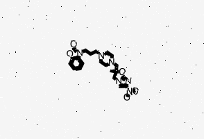 CC1(CN2CCN(CCCn3c(=O)oc4ccccc43)CC2)Cn2cc([N+](=O)[O-])nc2O1